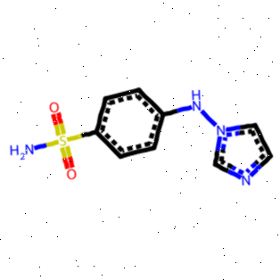 NS(=O)(=O)c1ccc(Nn2ccnc2)cc1